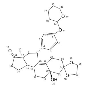 C=C(/C=C\C(=C/C)[C@H]1C[C@]2(C)C(=O)CCC2C2CC[C@@]3(O)CC4(CCC3=C21)OCCO4)OC1CCCCO1